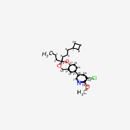 CCCC1(CCCC2CCC2)OCc2cc(-c3cnc(OC)c(Cl)c3)ccc2O1